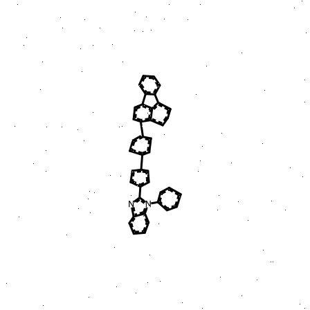 c1ccc(-n2c(-c3ccc(-c4ccc(-c5ccc6c7c(cccc57)-c5ccccc5-6)cc4)cc3)nc3ccccc32)cc1